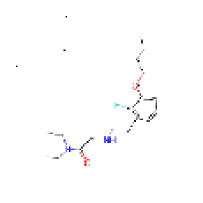 CCCCOc1cccc(CCNCC(=O)N(CC)CC)c1F